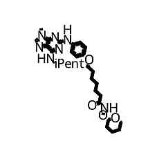 CCCC(C)Nc1nc(Nc2ccc(OCCCCCCC(=O)NOC3CCCCO3)cc2)nc2c1ncn2C